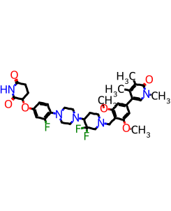 COc1cc(-c2cn(C)c(=O)c(C)c2C)cc(OC)c1CN1CCC(N2CCN(c3ccc(OC4CCC(=O)NC4=O)cc3F)CC2)C(F)(F)C1